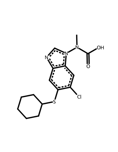 CN(C(=O)O)n1cnc2cc(SC3CCCCC3)c(Cl)cc21